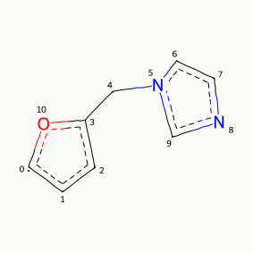 [c]1ccc(Cn2ccnc2)o1